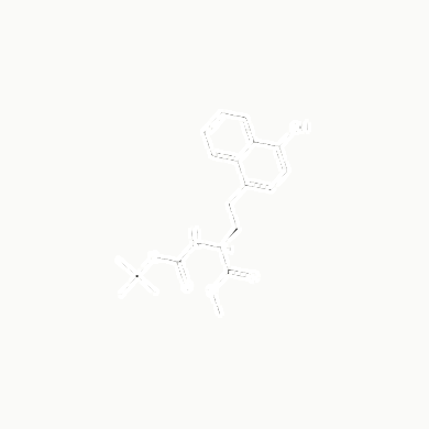 COC(=O)[C@H](CCc1ccc(O)c2ccccc12)NC(=O)OC(C)(C)C